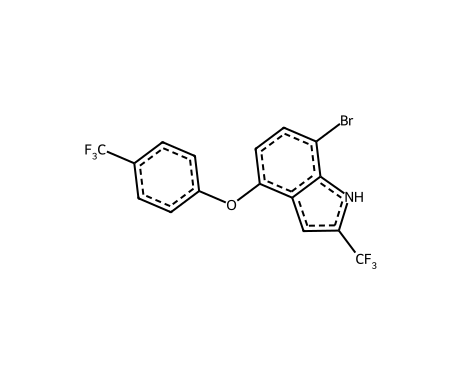 FC(F)(F)c1ccc(Oc2ccc(Br)c3[nH]c(C(F)(F)F)cc23)cc1